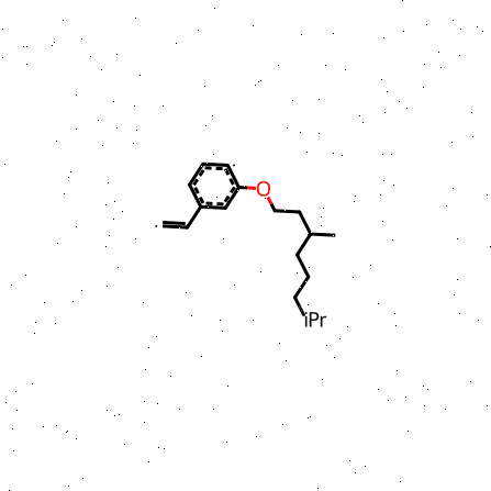 [CH]=Cc1cc[c]c(OCCC(C)CCCC(C)C)c1